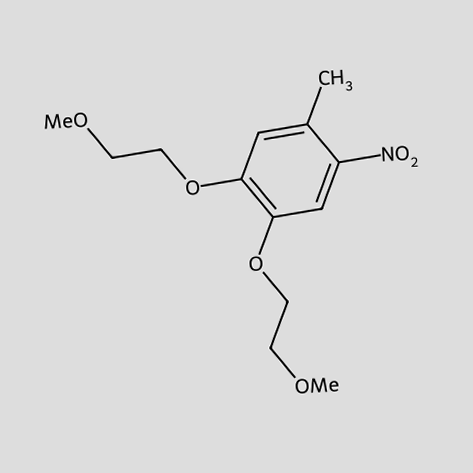 COCCOc1cc(C)c([N+](=O)[O-])cc1OCCOC